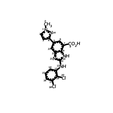 Cn1ccc(-c2cc(C(=O)O)c3[nH]c(Nc4cccc(Cl)c4Cl)nc3c2)n1